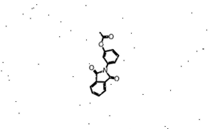 CC(=O)Oc1cccc(N2C(=O)c3ccccc3C2=O)c1